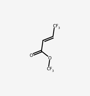 O=C(C=CC(F)(F)F)OC(F)(F)F